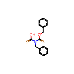 OC(=S)N(Cc1ccccc1)C(=S)OCc1ccccc1